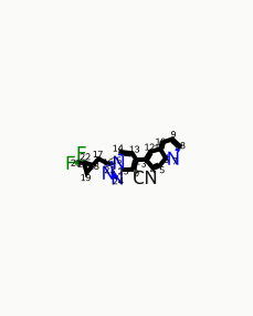 N#Cc1c(-c2ccc3ncccc3c2)ccn2c(CC3CC3(F)F)nnc12